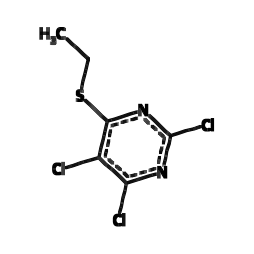 CCSc1nc(Cl)nc(Cl)c1Cl